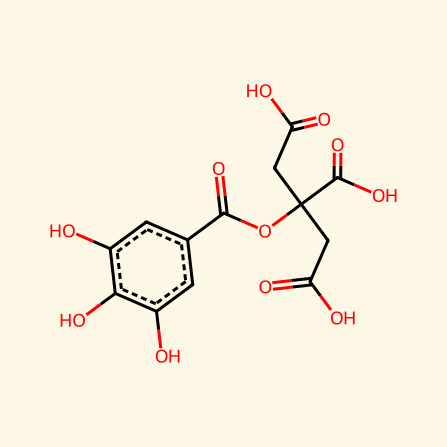 O=C(O)CC(CC(=O)O)(OC(=O)c1cc(O)c(O)c(O)c1)C(=O)O